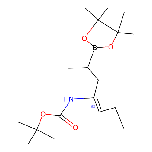 CC/C=C(\CC(C)B1OC(C)(C)C(C)(C)O1)NC(=O)OC(C)(C)C